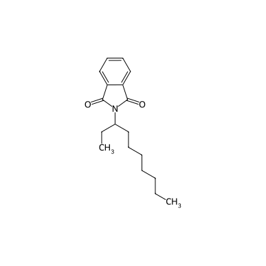 CCCCCCCC(CC)N1C(=O)c2ccccc2C1=O